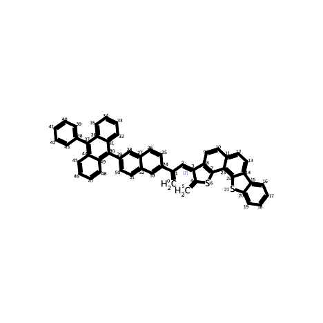 C=C(/C=c1\c(=C)sc2c1ccc1ccc3c4ccccc4sc3c12)c1ccc2cc(-c3c4ccccc4c(-c4ccccc4)c4ccccc34)ccc2c1